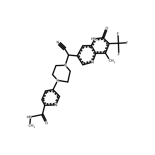 CNC(=O)c1ccc(N2CCN(C(C#N)c3cnc4c(C)c(C(F)(F)F)c(=O)[nH]c4c3)CC2)cn1